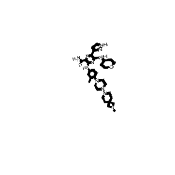 Cc1cc(Nc2nc(NC3CCOCC3)c(-c3cc[nH]n3)nc2C(N)=O)ccc1N1CCN(N2CCC3(CC2)CN(C)C3)CC1